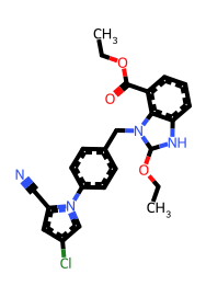 CCOC(=O)c1cccc2c1N(Cc1ccc(-n3cc(Cl)cc3C#N)cc1)C(OCC)N2